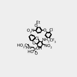 CCOc1cc(Oc2ccc(C(F)(F)F)cc2Cl)ccc1[N+](=O)[O-].Nc1c([N+](=O)[O-])ccc(Oc2ccccc2)c1Cl.O=C(O)CNCP(=O)(O)O